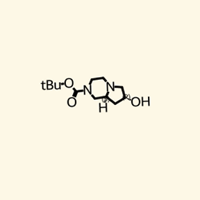 CC(C)(C)OC(=O)N1CCN2C[C@H](O)C[C@H]2C1